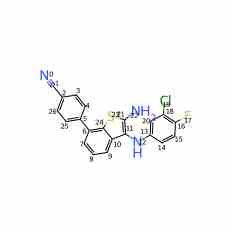 N#Cc1ccc(-c2cccc3c(Nc4ccc(F)c(Cl)c4)c(N)sc23)cc1